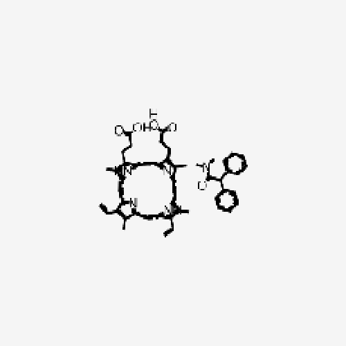 C=CC1=C(C)c2cc3[nH]c(cc4nc(cc5[nH]c(cc1n2)c(C)c5CCC(=O)O)C(CCC(=O)O)=C4C)c(C)c3C=C.CN(C)C(=O)C(c1ccccc1)c1ccccc1